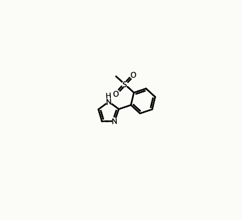 CS(=O)(=O)c1ccccc1-c1ncc[nH]1